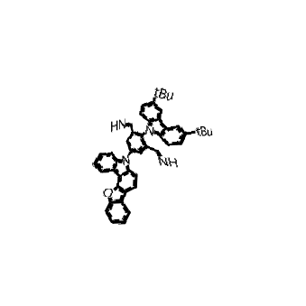 CC(C)(C)c1ccc2c(c1)c1cc(C(C)(C)C)ccc1n2-c1c(C=N)cc(-n2c3ccccc3c3c4oc5ccccc5c4ccc32)cc1C=N